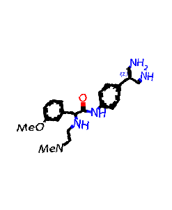 CNCCNC(C(=O)Nc1ccc(/C(C=N)=C/N)cc1)c1cccc(OC)c1